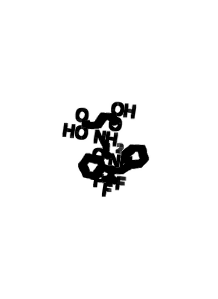 NCC(=O)NC(Cc1ccccc1)(c1ccccc1)C(F)(F)F.O=C(O)C=CC(=O)O